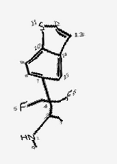 CNC(C)C(F)(F)c1ccc2sccc2c1